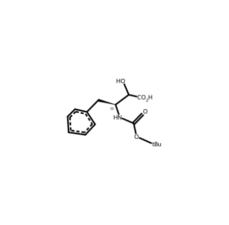 CC(C)(C)OC(=O)N[C@@H](Cc1ccccc1)C(O)C(=O)O